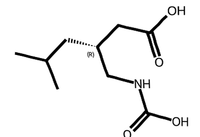 CC(C)C[C@@H](CNC(=O)O)CC(=O)O